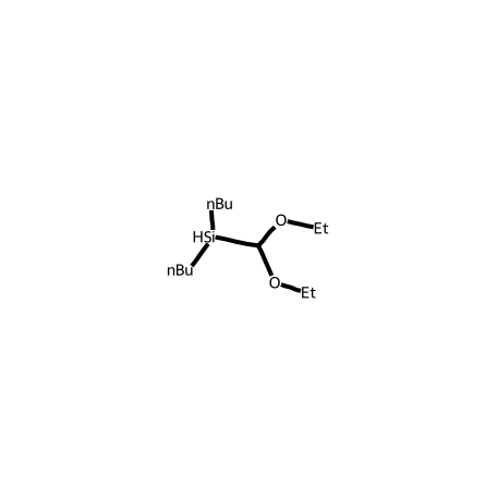 CCCC[SiH](CCCC)C(OCC)OCC